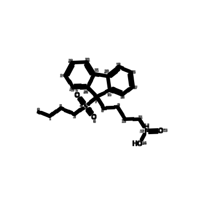 CCCCS(=O)(=O)C1(CCCC[PH](=O)O)c2ccccc2-c2ccccc21